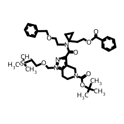 CC(C)(C)OC(=O)N1CCc2c(c(C(=O)N(CCOCc3ccccc3)C3(CCOC(=O)c4ccccc4)CC3)nn2COCC[Si](C)(C)C)C1